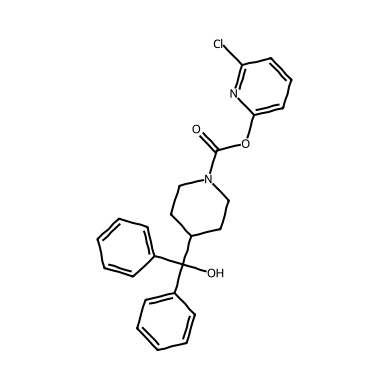 O=C(Oc1cccc(Cl)n1)N1CCC(C(O)(c2ccccc2)c2ccccc2)CC1